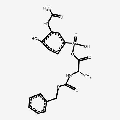 CC(=O)Nc1cc([As](=O)(O)OC(=O)[C@H](C)NC(=O)OCc2ccccc2)ccc1O